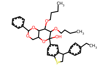 CCCCOC1C2OC(c3ccccc3)OCC2OC(O)(c2ccc3c(c2)C(c2ccc(CC)cc2)CS3)C1OCCCC